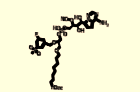 CCCCCCCCCCCCCCCCCCOC[C@H](COP(=O)(O)OC[C@@H](OC#N)[C@@H](O)[C@@H](O)c1ccc2c(N)ncnn12)OCc1cc(F)cc(S(C)(=O)=O)c1